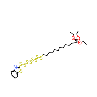 CCO[Si](CCCCCCCCCCCCSSSSSSSSc1nc2ccccc2s1)(OCC)OCC